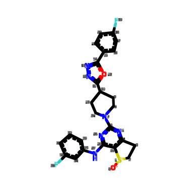 [O-][S+]1CCc2nc(N3CCC(c4nnc(-c5ccc(F)cc5)o4)CC3)nc(Nc3cccc(F)c3)c21